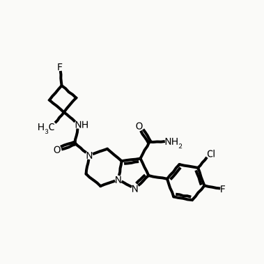 CC1(NC(=O)N2CCn3nc(-c4ccc(F)c(Cl)c4)c(C(N)=O)c3C2)CC(F)C1